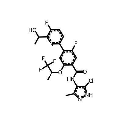 Cc1n[nH]c(Cl)c1NC(=O)c1cc(F)c(-c2ccc(F)c(C(C)O)n2)cc1O[C@@H](C)C(F)(F)F